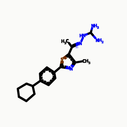 C/C(=N\NC(N)N)c1sc(-c2ccc(C3CCCCC3)cc2)nc1C